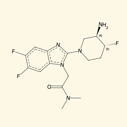 CN(C)C(=O)Cn1c(N2CC[C@@H](F)[C@H](N)C2)nc2cc(F)c(F)cc21